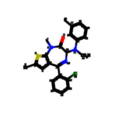 CCc1cc2c(s1)N(C)C(=O)C(N(C(=O)O)c1cccc(C)c1)N=C2c1ccccc1Cl